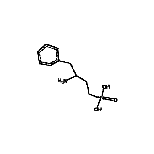 NC(CCP(=O)(O)O)Cc1ccccc1